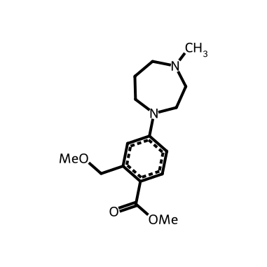 COCc1cc(N2CCCN(C)CC2)ccc1C(=O)OC